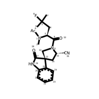 CC(=O)N(C)[C@@H](CC(C)(C)F)C(=O)N1C[C@]2(C[C@H]1C#N)C(=O)Nc1ccccc12